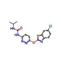 CC(C)NC(=O)Nc1ccc(Oc2nc3ccc(Cl)cc3s2)nn1